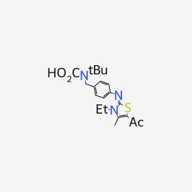 CCn1c(C)c(C(C)=O)sc1=Nc1ccc(CN(C(=O)O)C(C)(C)C)cc1